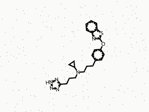 c1ccc2sc(Oc3ccc(CCCN(CCCc4nn[nH]n4)C4CC4)cc3)nc2c1